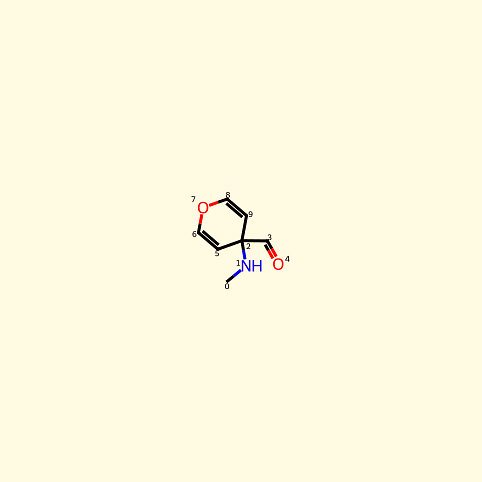 CNC1(C=O)C=COC=C1